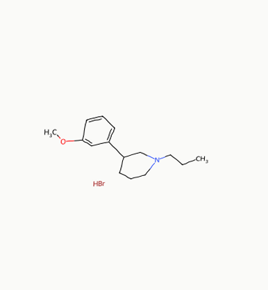 Br.CCCN1CCCC(c2cccc(OC)c2)C1